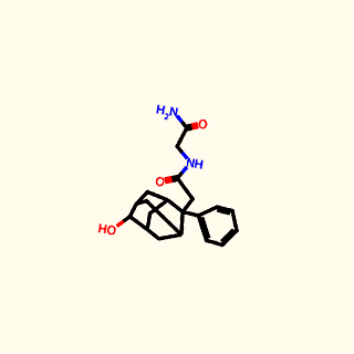 NC(=O)CNC(=O)CC1(c2ccccc2)C2CC3CC1CC(C2)C3O